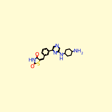 NC1CCC(Nc2cncc(-c3cccc(/C=C4/SC(=O)NC4=O)c3)n2)CC1